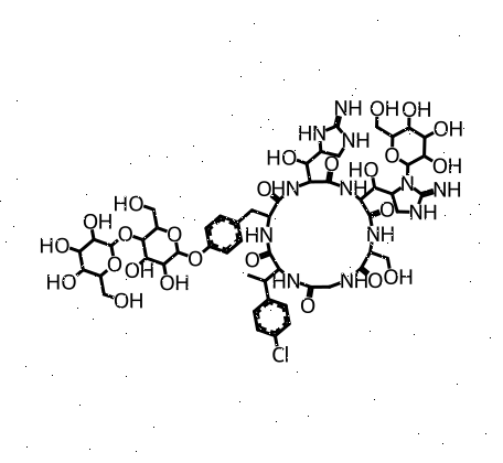 CC(c1ccc(Cl)cc1)C1NC(=O)CNC(=O)C(CO)NC(=O)C(C(O)C2CNC(=N)N2C2OC(CO)C(O)C(O)C2O)NC(=O)C(C(O)C2CNC(=N)N2)NC(=O)C(Cc2ccc(OC3OC(CO)C(OC4OC(CO)C(O)C(O)C4O)C(O)C3O)cc2)NC1=O